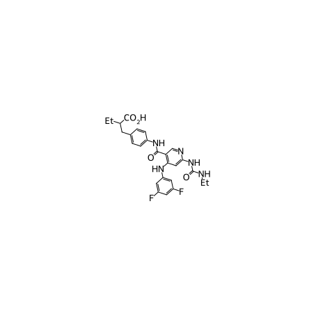 CCNC(=O)Nc1cc(Nc2cc(F)cc(F)c2)c(C(=O)Nc2ccc(CC(CC)C(=O)O)cc2)cn1